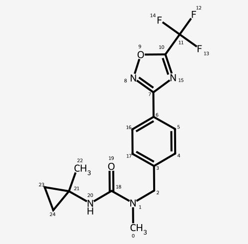 CN(Cc1ccc(-c2noc(C(F)(F)F)n2)cc1)C(=O)NC1(C)CC1